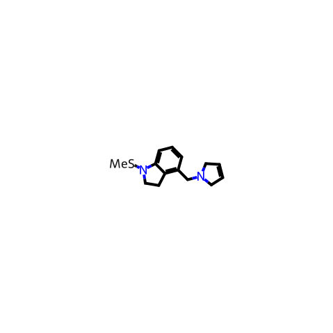 CSN1CCc2c(CN3CC=CC3)cccc21